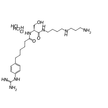 Cl.Cl.Cl.N=C(N)Nc1ccc(CCCCCC(=O)N[C@@H](CO)C(=O)NCCCCNCCCN)cc1